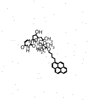 CC(C)(C[C@H]1O[C@@H](n2ccc(=O)[nH]c2=O)CC1O)OP(=O)(O)C(C)(C)OCCCCc1ccc2ccc3cccc4ccc1c2c34